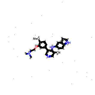 COc1ccc(-c2cncc(C#N)c2Nc2ccc3[nH]ccc3c2)cc1OCCN(C)C